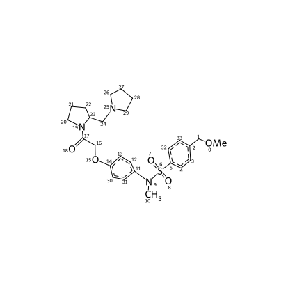 COCc1ccc(S(=O)(=O)N(C)c2ccc(OCC(=O)N3CCCC3CN3CCCC3)cc2)cc1